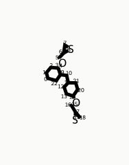 C1CCC(OCC2CS2)C(CC2CCC(OCC3CS3)CC2)C1